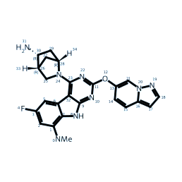 CNc1cc(F)cc2c1[nH]c1nc(Oc3ccc4ccnn4c3)nc(N3C[C@H]4C[C@@H]3C[C@H]4N)c12